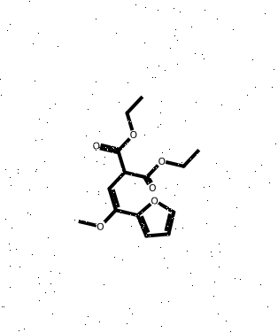 CCOC(=O)C(C=C(OC)c1ccco1)C(=O)OCC